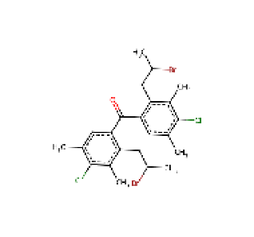 Cc1cc(C(=O)c2cc(C)c(Cl)c(C)c2CC(C)Br)c(CC(C)Br)c(C)c1Cl